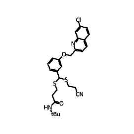 CC(C)(C)NC(=O)CCSC(SCCC#N)c1cccc(OCc2ccc3ccc(Cl)cc3n2)c1